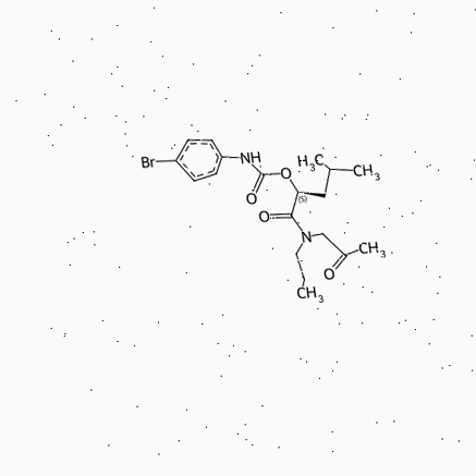 CCCN(CC(C)=O)C(=O)[C@H](CC(C)C)OC(=O)Nc1ccc(Br)cc1